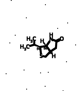 CC(C)[C@@H]1SC[C@@H]2CC(=O)N[C@@H]21